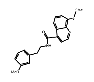 COc1cccc(CCNC(=O)c2ccnc3c(SSC)cccc23)c1